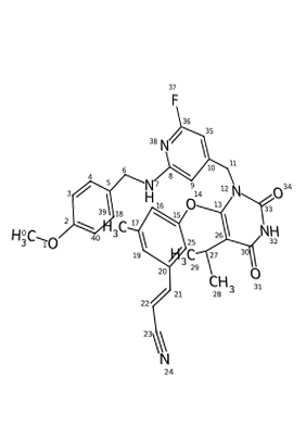 COc1ccc(CNc2cc(Cn3c(Oc4cc(C)cc(/C=C/C#N)c4)c(C(C)C)c(=O)[nH]c3=O)cc(F)n2)cc1